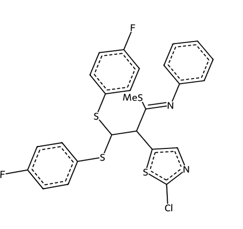 CSC(=Nc1ccccc1)C(c1cnc(Cl)s1)C(Sc1ccc(F)cc1)Sc1ccc(F)cc1